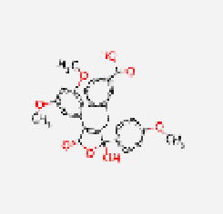 COc1ccc(C2(O)OC(=O)C(c3cc(OC)cc(OC)c3)=C2Cc2cccc(C(=O)O)c2)cc1